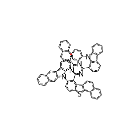 c1ccc(-n2c3ccccc3c3cccc(-c4nc(-c5ccc6ccccc6c5)nc(-c5c(-n6c7ccccc7c7cc8ccccc8cc76)ccc6sc7c8ccccc8ccc7c56)n4)c32)cc1